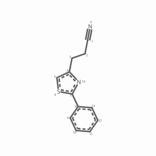 N#CCCc1csc(-c2ccccc2)n1